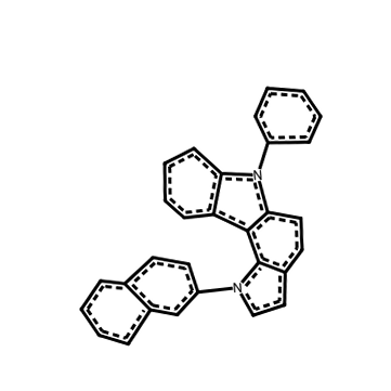 c1ccc(-n2c3ccccc3c3c4c(ccc32)ccn4-c2ccc3ccccc3c2)cc1